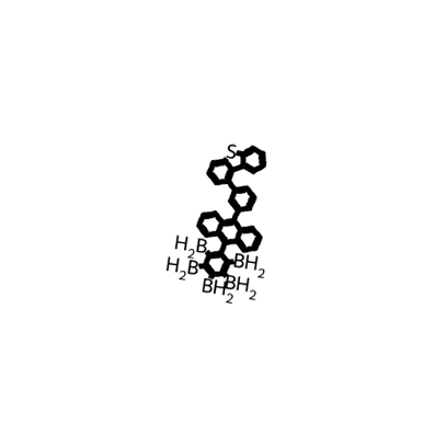 Bc1c(B)c(B)c(-c2c3ccccc3c(-c3cccc(-c4cccc5sc6ccccc6c45)c3)c3ccccc23)c(B)c1B